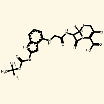 CC(C)(C)OC(=O)Nc1cc2c(NCC(=O)NC3C(=O)N4C(C(=O)O)=C(Cl)CS[C@@H]34)cccc2[nH]1